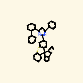 c1ccc(-c2cc(-c3ccccc3-c3ccccc3)nc(-c3ccc4c(c3)Sc3ccccc3C43c4ccccc4-c4ccccc43)n2)cc1